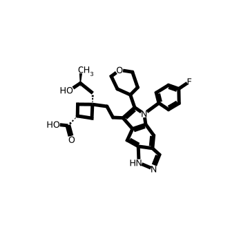 C[C@H](O)C[C@]1(CCc2c(C3CCOCC3)n(-c3ccc(F)cc3)c3cc4cn[nH]c4cc23)C[C@H](C(=O)O)C1